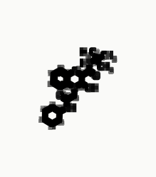 CC(C)(C)NC(=O)C1Sc2ccccc2N(CC(=O)NC2CCCCC2)C1O